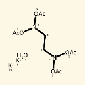 CC(=O)ON(CCN(OC(C)=O)OC(C)=O)OC(C)=O.O.[K].[K]